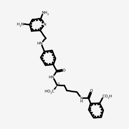 Nc1cc(N)nc(CNc2ccc(C(=O)N[C@@H](CCCNC(=O)c3ccccc3C(=O)O)C(=O)O)cc2)c1